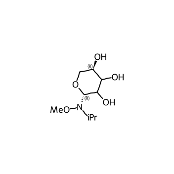 CON(C(C)C)[C@@H]1OC[C@@H](O)C(O)C1O